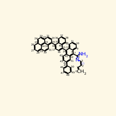 C=C/C=C\N=C(/N)c1c2ccccc2c(-c2ccc(-c3ccc4ccc5cccc6ccc3c4c56)c3ccccc23)c2ccc(-c3ccccc3)cc12